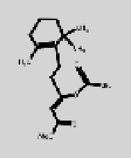 COC(=O)C=C(CCC1=C(C)CCCC1(C)C)OC(=O)C(C)(C)C